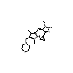 Cc1[nH]c(C=C2C(=O)NN=C2C2CC2)c(C)c1CN1CCOCC1